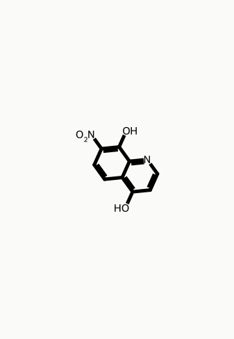 O=[N+]([O-])c1ccc2c(O)ccnc2c1O